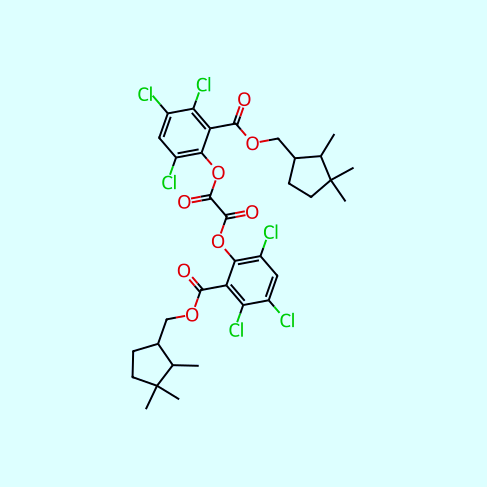 CC1C(COC(=O)c2c(Cl)c(Cl)cc(Cl)c2OC(=O)C(=O)Oc2c(Cl)cc(Cl)c(Cl)c2C(=O)OCC2CCC(C)(C)C2C)CCC1(C)C